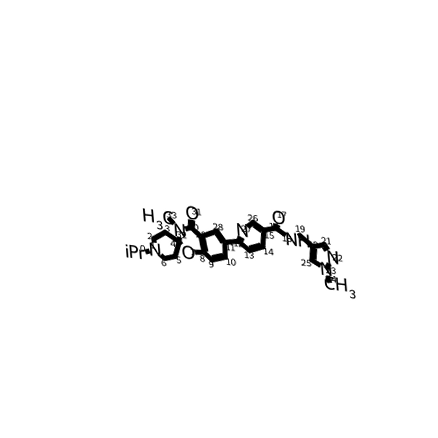 CC(C)N1CCC2(CC1)Oc1ccc(-c3ccc(C(=O)NCc4cnn(C)c4)cn3)cc1C(=O)N2C